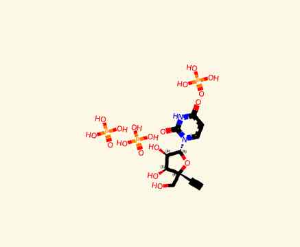 C#C[C@]1(CO)O[C@@H](n2ccc(=O)[nH]c2=O)[C@H](O)[C@@H]1O.O=P(O)(O)O.O=P(O)(O)O.O=P(O)(O)O